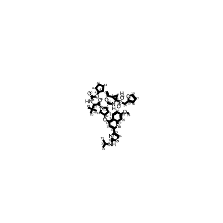 C=CC1C[C@]1(NC(=O)[C@@H]1C[C@@H](Oc2cc(-c3csc(NC(C)C)n3)nc3cc(OC)ccc23)CN1C(=O)[C@@H](NC(=O)OC1CCCC1)C(C)(C)C)P(=O)(O)Cc1ccco1